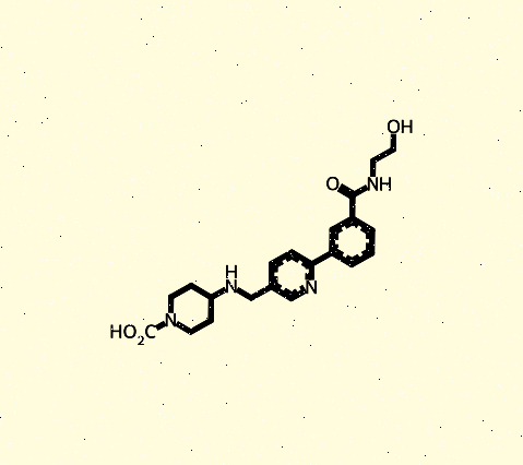 O=C(NCCO)c1cccc(-c2ccc(CNC3CCN(C(=O)O)CC3)cn2)c1